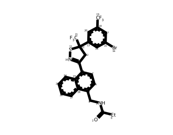 CCC(=O)NCc1ccc(C2=NSC(c3cc(Br)cc(C(F)(F)F)c3)(C(F)(F)F)C2)c2ccccc12